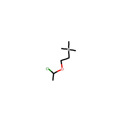 CC(Cl)OCC[Si](C)(C)C